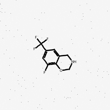 Fc1cc(C(F)(F)F)cc2c1OCNC2